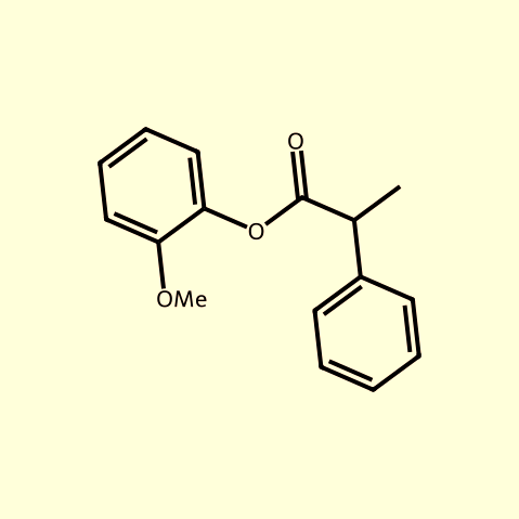 COc1ccccc1OC(=O)C(C)c1ccccc1